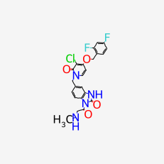 CNCC(=O)n1c(=O)[nH]c2cc(Cn3ccc(OCc4ccc(F)cc4F)c(Cl)c3=O)ccc21